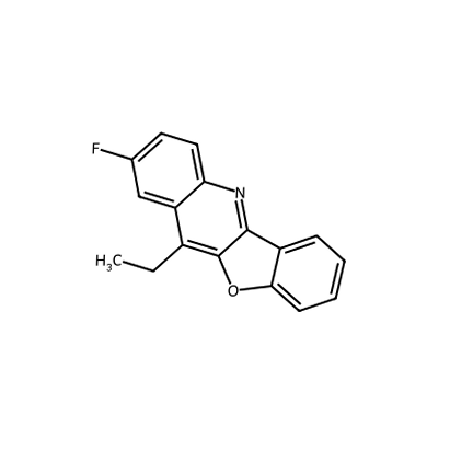 CCc1c2cc(F)ccc2nc2c1oc1ccccc12